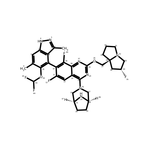 Cc1cc2[nH]nc(C)c2c(-c2c(F)cc3c(N4C[C@H]5CC[C@@H](C4)N5)nc(OC[C@@]45CCCN4C[C@H](F)C5)nc3c2F)c1OC(F)F